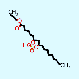 CCCCCCCCCC(CCCCCCCC(=O)OCCCC)OS(=O)(=O)O